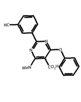 CNc1nc(-c2cccc(C#N)c2)nc(Oc2ccccc2)c1C(=O)O